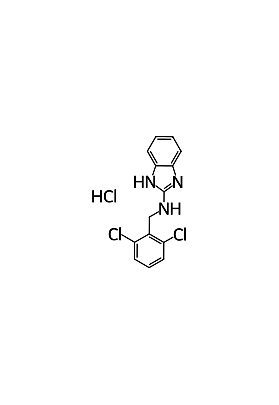 Cl.Clc1cccc(Cl)c1CNc1nc2ccccc2[nH]1